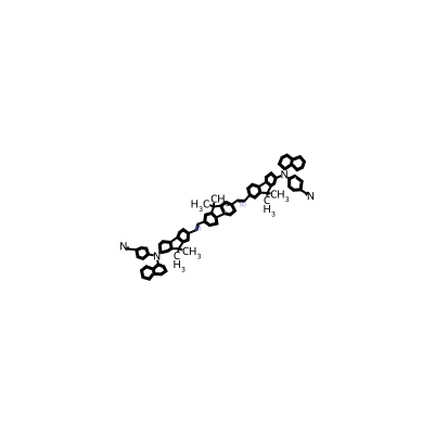 CC1(C)c2cc(/C=C/c3ccc4c(c3)C(C)(C)c3cc(N(c5ccc(C#N)cc5)c5cccc6ccccc56)ccc3-4)ccc2-c2ccc(/C=C/c3ccc4c(c3)C(C)(C)c3cc(N(c5ccc(C#N)cc5)c5cccc6ccccc56)ccc3-4)cc21